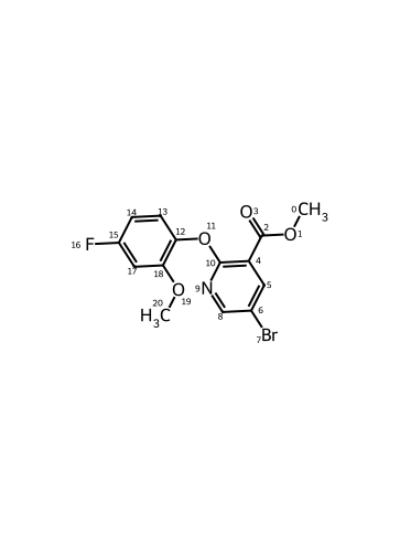 COC(=O)c1cc(Br)cnc1Oc1ccc(F)cc1OC